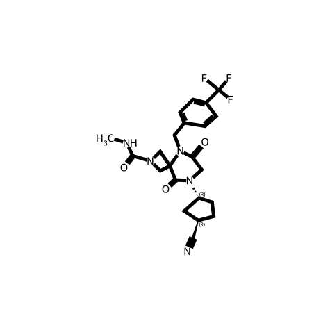 CNC(=O)N1CC2(C1)C(=O)N([C@@H]1CC[C@@H](C#N)C1)CC(=O)N2Cc1ccc(C(F)(F)F)cc1